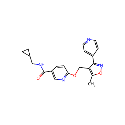 Cc1onc(-c2ccncc2)c1COc1ccc(C(=O)NCC2CC2)cn1